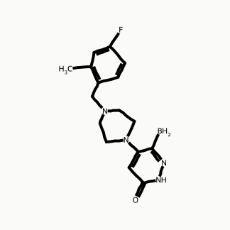 Bc1n[nH]c(=O)cc1N1CCN(Cc2ccc(F)cc2C)CC1